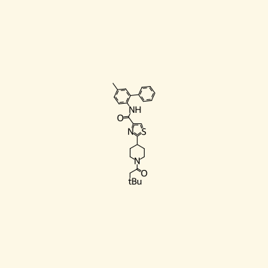 Cc1ccc(NC(=O)c2csc(C3CCN(C(=O)CC(C)(C)C)CC3)n2)c(-c2ccccc2)c1